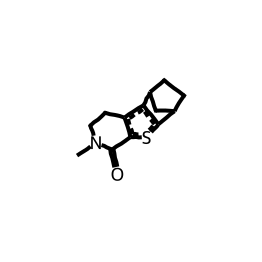 CN1CCc2c(sc3c2C2CCC3C2)C1=O